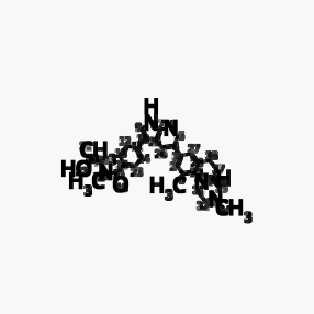 Cc1cc(-c2cnc3[nH]cc(-c4ccc(C(=O)N(C)C[C@@H](C)O)cc4)c3c2)cc2c1N1CCN(C)C[C@@H]1CC2